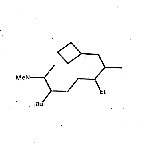 CCC(C)C(CCC(CC)C(C)CC1CCC1)C(C)NC